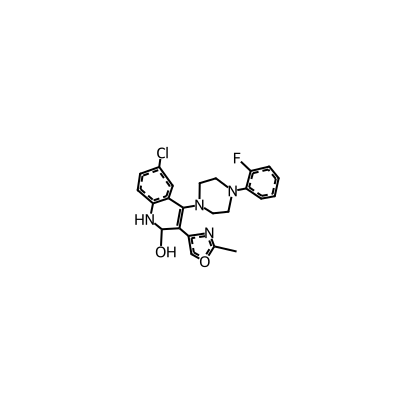 Cc1nc(C2=C(N3CCN(c4ccccc4F)CC3)c3cc(Cl)ccc3NC2O)co1